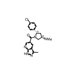 CN[C@@H]1C[C@@H](c2ccc(Cl)cc2)N(C(=O)c2cnc3[nH]nc(C)c3c2)C1